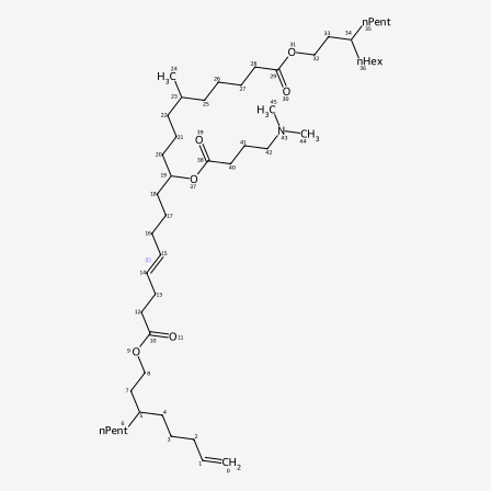 C=CCCCC(CCCCC)CCOC(=O)CC/C=C/CCCC(CCCC(C)CCCCC(=O)OCCC(CCCCC)CCCCCC)OC(=O)CCCN(C)C